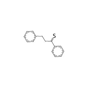 S=C(CCc1ccccc1)c1ccccc1